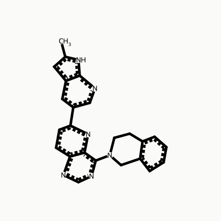 Cc1cc2cc(-c3ccc4ncnc(N5CCc6ccccc6C5)c4n3)cnc2[nH]1